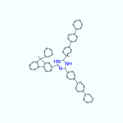 CC1(c2ccccc2)c2ccccc2-c2ccc(C3=NC(c4ccc(-c5ccc(-c6ccccc6)cc5)cc4)NC(c4ccc(-c5ccc(-c6ccccc6)cc5)cc4)N3)cc21